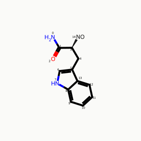 NC(=O)[C@H](Cc1c[nH]c2ccccc12)N=O